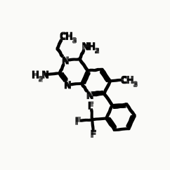 CCN1C(N)=Nc2nc(-c3ccccc3C(F)(F)F)c(C)cc2C1N